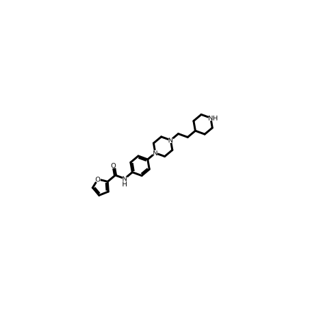 O=C(Nc1ccc(N2CCN(CCC3CCNCC3)CC2)cc1)c1ccco1